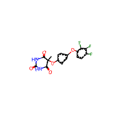 CC1(Oc2ccc(Oc3ccc(F)c(F)c3F)cc2)C(=O)NC(=O)NC1=O